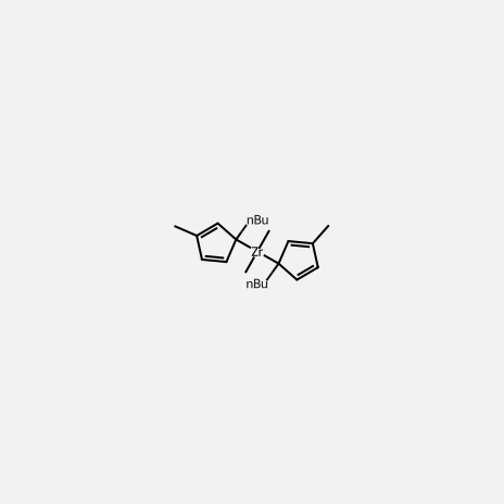 CCCC[C]1([Zr]([CH3])([CH3])[C]2(CCCC)C=CC(C)=C2)C=CC(C)=C1